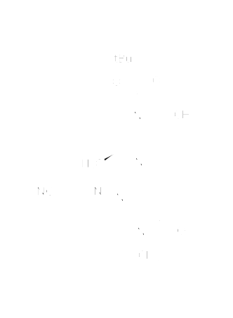 C[C@@H]1CN(c2cc(=O)n(C)c3cc(CC#N)nn23)[C@@H](C)CN1C(=O)OC(C)(C)C